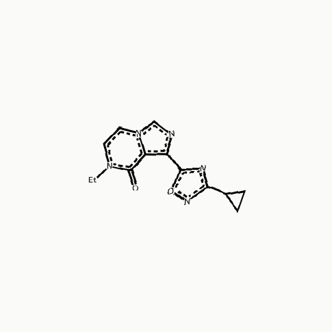 CCn1ccn2cnc(-c3nc(C4CC4)no3)c2c1=O